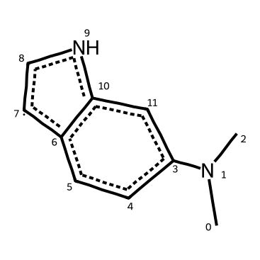 CN(C)c1ccc2[c]c[nH]c2c1